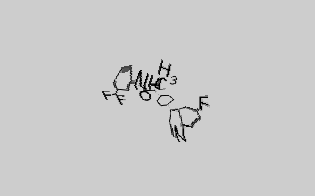 CC(C(=O)Nc1cccc(C(F)F)c1)[C@H]1CC[C@@H](c2ccnc3ccc(F)cc32)CC1